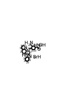 Br.NCc1cc(C(=O)NO)ccc1CN(Cc1nc2ccccc2[nH]1)C1CCCc2cccnc21